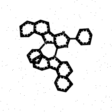 c1ccc(-c2nc(-n3c4ccccc4c4c5ccccc5ccc43)c3c(n2)c2ccc4ccccc4c2n3-c2ccccc2)cc1